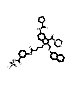 O=C(CCCn1c(COc2ccc3ccccc3c2)c(C(=O)N2CCOCC2)c2cc(NC(=O)C3CCCC3)ccc21)Nc1cccc(C(=O)NS(=O)(=O)C(F)(F)F)c1